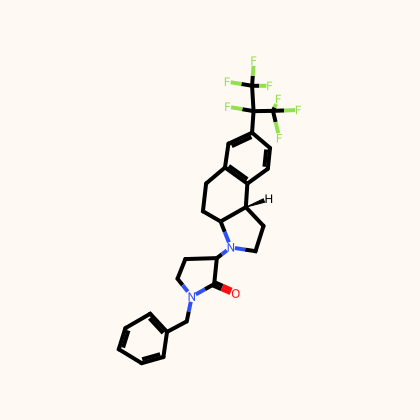 O=C1C(N2CC[C@H]3c4ccc(C(F)(C(F)(F)F)C(F)(F)F)cc4CCC32)CCN1Cc1ccccc1